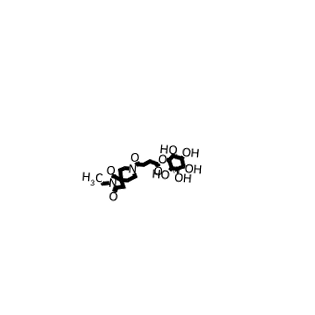 CCN1C(=O)CC2(CCN(C(=O)CCC(=O)OC3C(O)[C@H](O)C(O)C(O)[C@@H]3O)CC2)C1=O